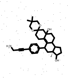 CC1(C)COC2(CCC3=C4C(c5ccc(C#CCN)cc5)C[C@]5(C)C(O)CCC5C4CCC3(O)C2)OC1